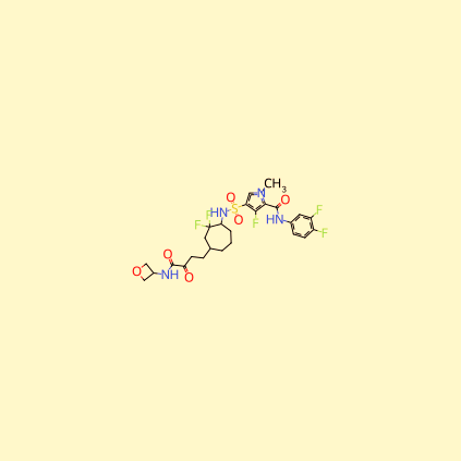 Cn1cc(S(=O)(=O)NC2CCCC(CCC(=O)C(=O)NC3COC3)CC2(F)F)c(F)c1C(=O)Nc1ccc(F)c(F)c1